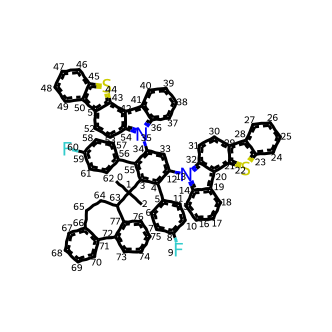 CC(C)(c1c(-c2ccc(F)cc2)c(-n2c3ccccc3c3c4sc5ccccc5c4ccc32)cc(-n2c3ccccc3c3c4sc5ccccc5c4ccc32)c1-c1ccc(F)cc1)C1CCc2ccccc2-c2ccccc21